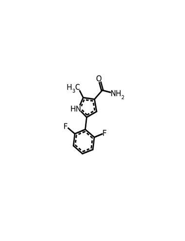 Cc1[nH]c(-c2c(F)cccc2F)cc1C(N)=O